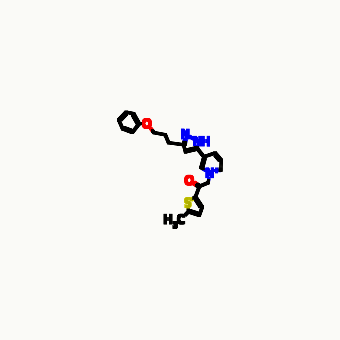 Cc1ccc(C(=O)C[n+]2cccc(-c3cc(CCCOc4ccccc4)n[nH]3)c2)s1